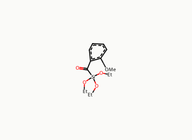 CCO[Si](OCC)(OCC)C(=O)c1ccccc1OC